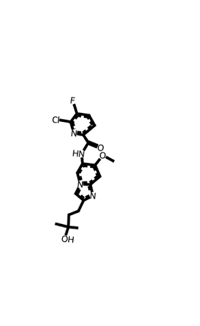 COc1cc2nc(CCC(C)(C)O)cn2cc1NC(=O)c1ccc(F)c(Cl)n1